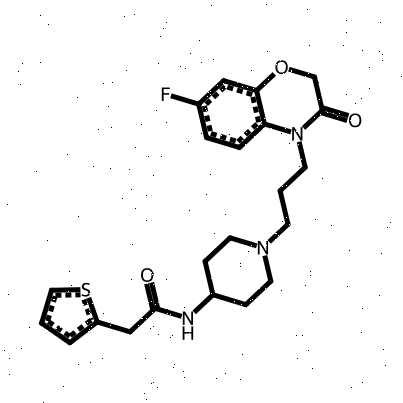 O=C(Cc1cccs1)NC1CCN(CCCN2C(=O)COc3cc(F)ccc32)CC1